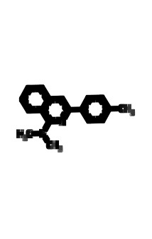 Cc1ccc(-c2cc3ccccc3c(N(C)C)n2)cc1